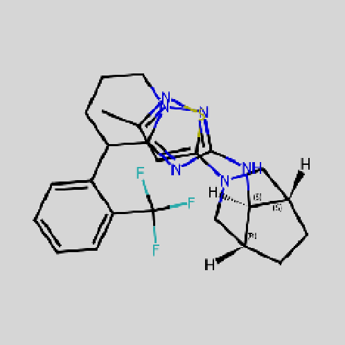 Cc1cc(N2C[C@H]3CC[C@@H](C2)[C@@H]3Nc2nc3n(n2)CCCC3c2ccccc2C(F)(F)F)sn1